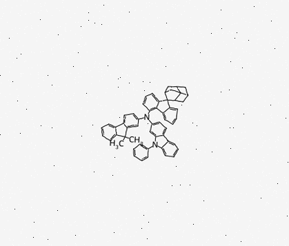 CC1(C)c2ccccc2-c2ccc(N(c3ccc4c5ccccc5n(-c5ccccc5)c4c3)c3cccc4c3-c3ccccc3C43C4CC5CC(C4)CC3C5)cc21